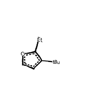 CCc1occc1C(C)(C)C